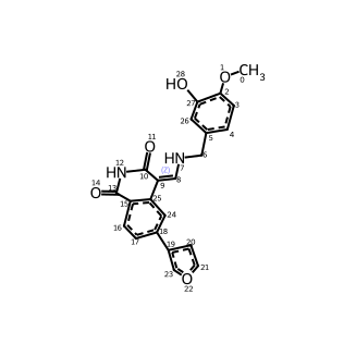 COc1ccc(CN/C=C2\C(=O)NC(=O)c3ccc(-c4ccoc4)cc32)cc1O